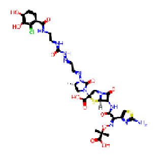 C[C@H]1CN([C@]2(C(=O)O)CN3C(=O)[C@@H](NC(=O)/C(=N\OC(C)(C)C(=O)O)c4csc(N)n4)[C@H]3S2)C(=O)N1/N=C/C=N/NC(=O)NCCNC(=O)c1ccc(O)c(O)c1Cl